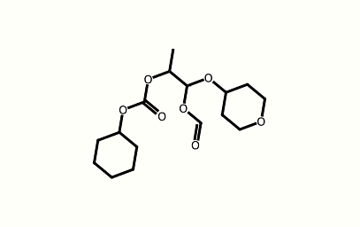 CC(OC(=O)OC1CCCCC1)[C](OC=O)OC1CCOCC1